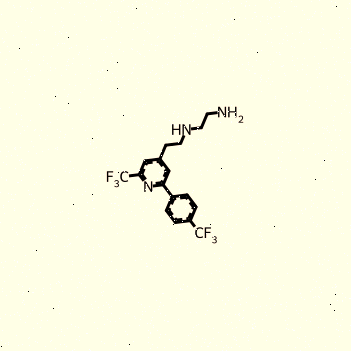 NCCNCCc1cc(-c2ccc(C(F)(F)F)cc2)nc(C(F)(F)F)c1